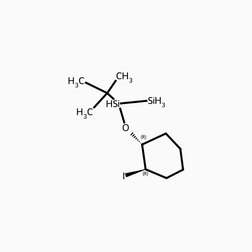 CC(C)(C)[SiH]([SiH3])O[C@@H]1CCCC[C@H]1I